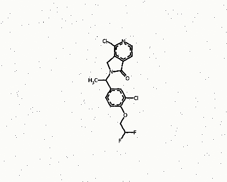 CC(c1ccc(OCC(F)F)c(Cl)c1)N1Cc2c(ccnc2Cl)C1=O